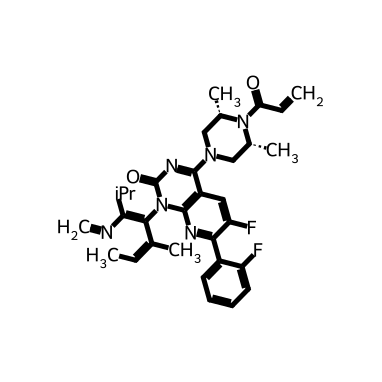 C=CC(=O)N1[C@H](C)CN(c2nc(=O)n(C(/C(C)=C\C)=C(/N=C)C(C)C)c3nc(-c4ccccc4F)c(F)cc23)C[C@@H]1C